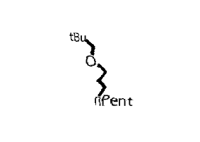 [CH2]C(C)(C)COCCCCCCCC